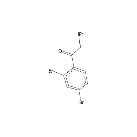 C[C](C)CC(=O)c1ccc(Br)cc1Br